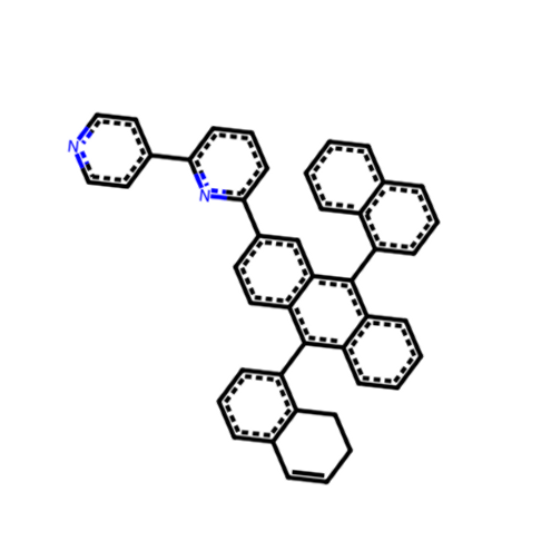 C1=Cc2cccc(-c3c4ccccc4c(-c4cccc5ccccc45)c4cc(-c5cccc(-c6ccncc6)n5)ccc34)c2CC1